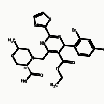 CCOC(=O)C1=C(CN2CC(C)OC[C@H]2C(=O)O)NC(c2nccs2)=NC1c1ccc(F)cc1Br